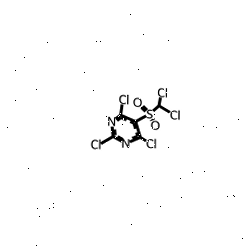 O=S(=O)(c1c(Cl)nc(Cl)nc1Cl)C(Cl)Cl